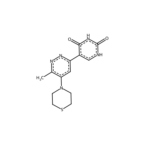 Cc1nnc(-c2c[nH]c(=O)[nH]c2=O)cc1N1CCSCC1